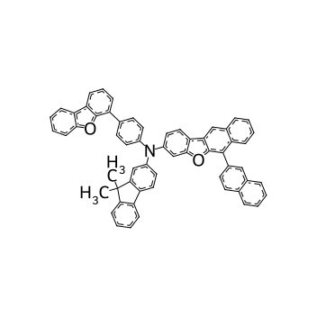 CC1(C)c2ccccc2-c2ccc(N(c3ccc(-c4cccc5c4oc4ccccc45)cc3)c3ccc4c(c3)oc3c(-c5ccc6ccccc6c5)c5ccccc5cc34)cc21